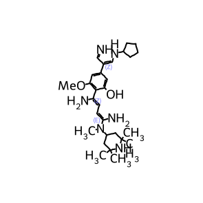 COc1cc(/C(C=N)=C/NC2CCCC2)cc(O)c1/C(N)=C/C=C(\N)N(C)C1CC(C)(C)NC(C)(C)C1